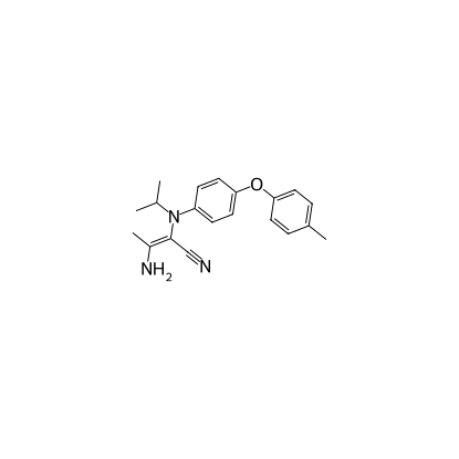 C/C(N)=C(/C#N)N(c1ccc(Oc2ccc(C)cc2)cc1)C(C)C